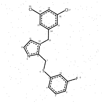 Fc1cccc(SCc2nccn2Cc2cc(Cl)cc(Cl)c2)c1